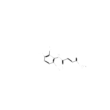 COC(=O)C=CC(=O)Nc1c(C=O)ccc(O)c1O